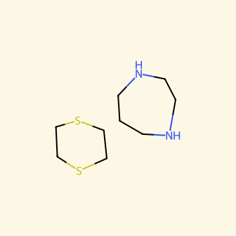 C1CNCCNC1.C1CSCCS1